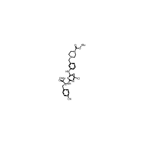 COC(=O)[C@H](Cc1ccc(C#N)cc1)Nc1nc(Cl)nc(Nc2cccc(CN3CCN(C(=O)OC(C)(C)C)CC3)c2)n1